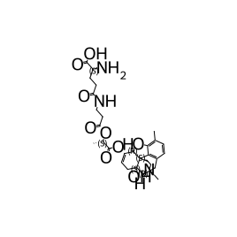 Cc1ccc2c3c1O[C@H]1C(OC(=O)[C@H](C)OC(=O)CCNC(=O)CC[C@H](N)C(=O)O)=CC[C@@]4(O)[C@@H](C2)N(C)CC[C@]314